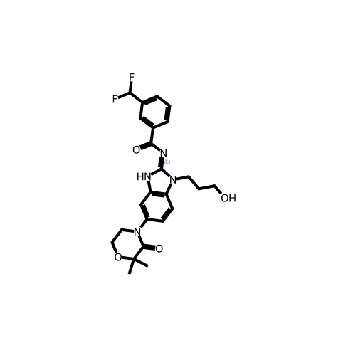 CC1(C)OCCN(c2ccc3c(c2)[nH]/c(=N\C(=O)c2cccc(C(F)F)c2)n3CCCO)C1=O